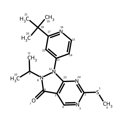 CSc1ncc2c(=O)n(C(C)C)n(-c3ccnc(C(C)(C)C)c3)c2n1